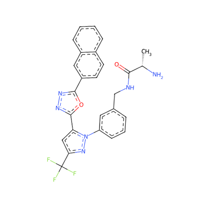 C[C@H](N)C(=O)NCc1cccc(-n2nc(C(F)(F)F)cc2-c2nnc(-c3ccc4ccccc4c3)o2)c1